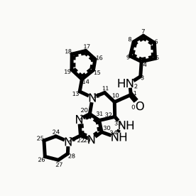 O=C(NCc1ccccc1)C1CN(Cc2ccccc2)c2nc(N3CCCCC3)nc3c2C1NN3